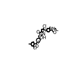 Cc1ccc(C(=O)N2CCC(O)(Cn3cnc4c(cc(Cl)n4-c4ccc(C5CO[C@H](C)CN5)c(C)c4)c3=O)CC2)c(Cl)c1